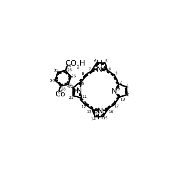 C1=Cc2cc3ccc(cc4nc(cc5ccc(cc1n2)[nH]5)C=C4)[nH]3.O=C(O)c1cc[c]([Co])cc1